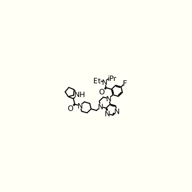 CCN(C(=O)c1cc(F)ccc1N1CCN(CC2CCN(C(=O)C3NC4CCC3C4)CC2)c2ncncc21)C(C)C